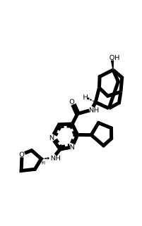 O=C(N[C@H]1C2CC3CC1C[C@@](O)(C3)C2)c1cnc(N[C@@H]2CCOC2)nc1C1CCCC1